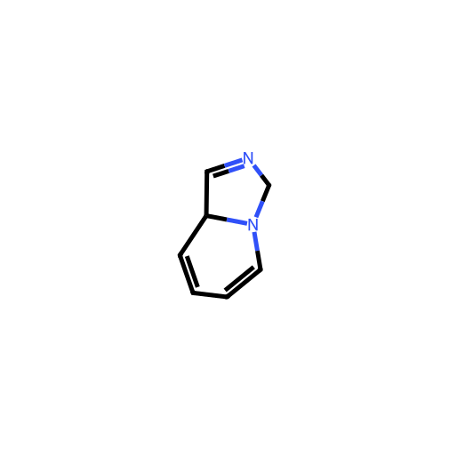 C1=CC2C=NCN2C=C1